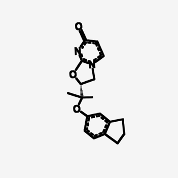 CC(C)(Oc1ccc2c(c1)CCC2)[C@H]1Cn2ccc(=O)nc2O1